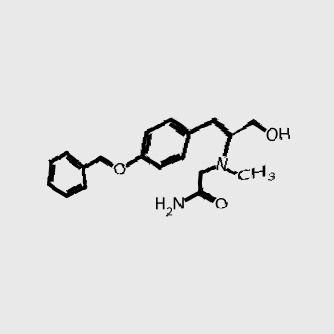 CN(CC(N)=O)[C@H](CO)Cc1ccc(OCc2ccccc2)cc1